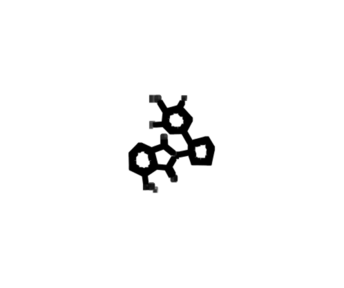 O=C1c2cccc([N+](=O)[O-])c2C(=O)N1c1ccccc1-c1cc(F)c(O)c(F)c1